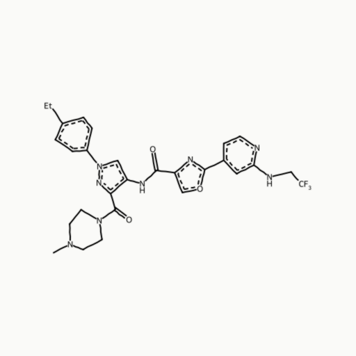 CCc1ccc(-n2cc(NC(=O)c3coc(-c4ccnc(NCC(F)(F)F)c4)n3)c(C(=O)N3CCN(C)CC3)n2)cc1